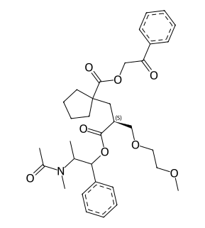 COCCOC[C@H](CC1(C(=O)OCC(=O)c2ccccc2)CCCC1)C(=O)OC(c1ccccc1)C(C)N(C)C(C)=O